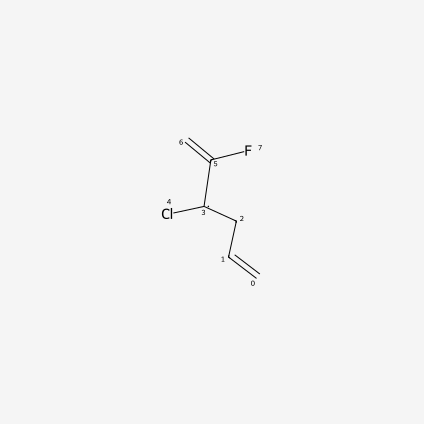 C=CC[C](Cl)C(=C)F